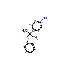 CC(C)(Nc1ccccc1)c1ccc(N)cc1